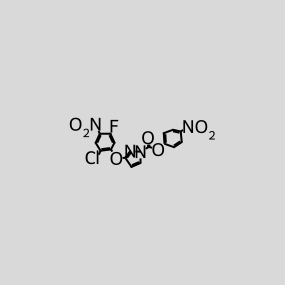 O=C(Oc1ccc([N+](=O)[O-])cc1)n1ccc(Oc2cc(F)c([N+](=O)[O-])cc2Cl)n1